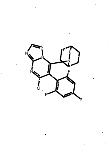 Fc1cc(F)c(-c2c(Cl)nc3ncnn3c2N2CC3CCC2CC3)c(F)c1